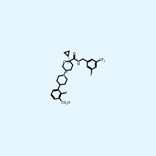 O=C(O)c1cccc(C2CCN([C@@H]3CC[C@@](C(=O)NCc4cc(F)cc(C(F)(F)F)c4)(C4CC4)OC3)CC2)c1F